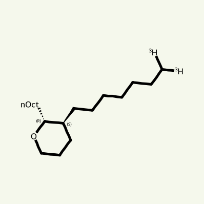 [3H]C([3H])CCCCCC[C@H]1CCCO[C@@H]1CCCCCCCC